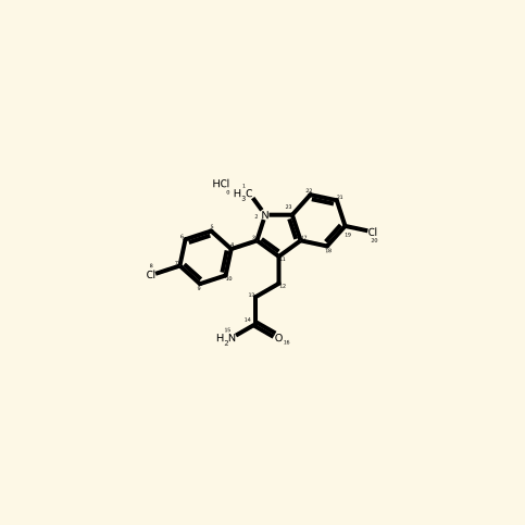 Cl.Cn1c(-c2ccc(Cl)cc2)c(CCC(N)=O)c2cc(Cl)ccc21